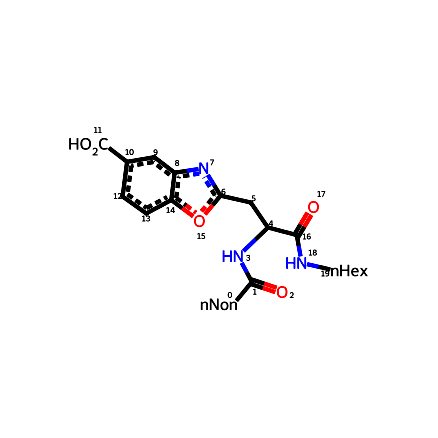 CCCCCCCCCC(=O)NC(Cc1nc2cc(C(=O)O)ccc2o1)C(=O)NCCCCCC